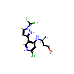 C[C@@H](CCO)Nc1cc(Cl)ncc1-c1ccn(C(F)F)n1